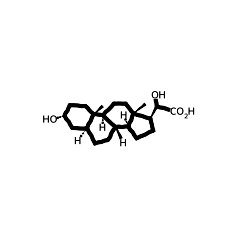 C[C@]12CC[C@@H](O)C[C@@H]1CC[C@@H]1[C@@H]2CC[C@]2(C)[C@@H](C(O)C(=O)O)CC[C@@H]12